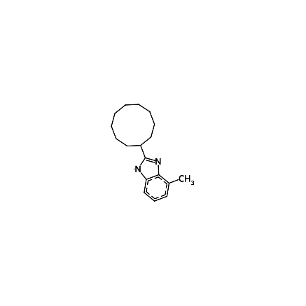 Cc1cccc2c1N=C(C1CCCCCCCCC1)[N]2